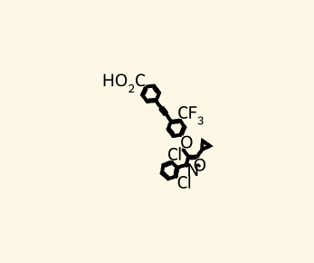 O=C(O)c1ccc(C#Cc2ccc(OCc3c(-c4c(Cl)cccc4Cl)noc3C3CC3)cc2C(F)(F)F)cc1